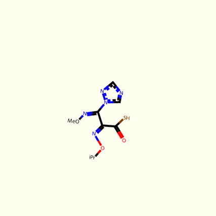 CO/N=C(\C(=N\OC(C)C)C(=O)S)n1cncn1